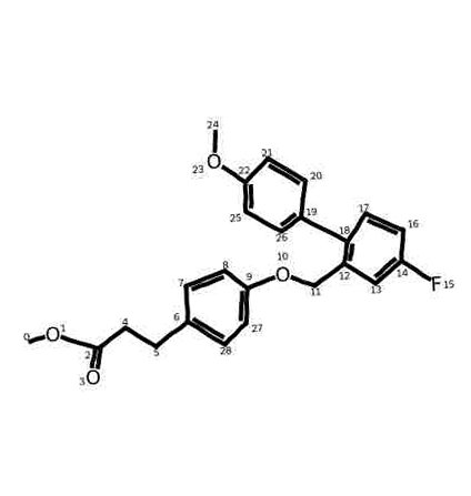 COC(=O)CCc1ccc(OCc2cc(F)ccc2-c2ccc(OC)cc2)cc1